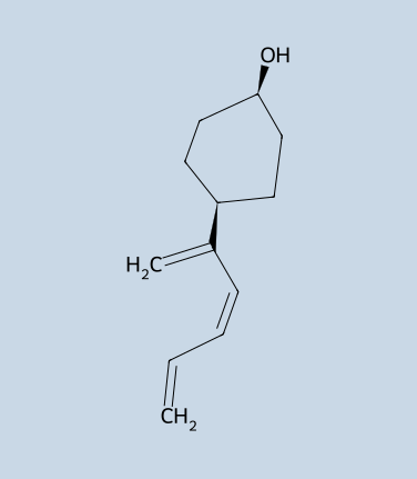 C=C/C=C\C(=C)[C@H]1CC[C@@H](O)CC1